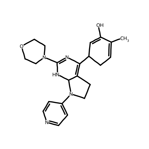 CC1=CCC(C2=C3CCN(c4ccncc4)C3NC(N3CCOCC3)=N2)C=C1O